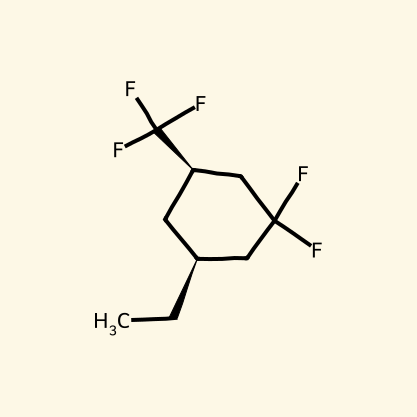 CC[C@H]1C[C@@H](C(F)(F)F)CC(F)(F)C1